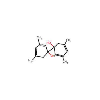 CC1=CC(O)(C2(O)C=C(C)C=C(C)C2)CC(C)=C1